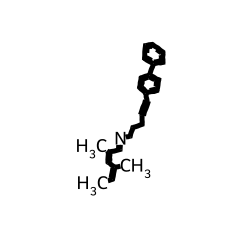 C\C=C(C)/C=C(C)\C=N\CCCC#Cc1ccc(-c2ccccc2)cc1